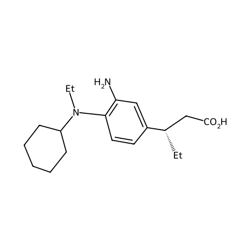 CC[C@@H](CC(=O)O)c1ccc(N(CC)C2CCCCC2)c(N)c1